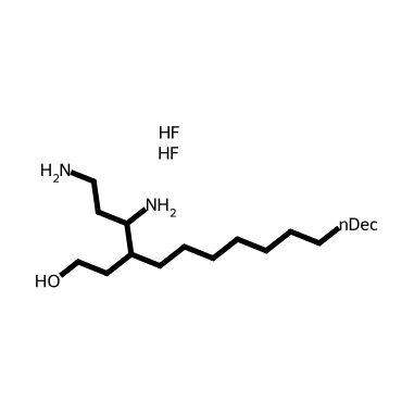 CCCCCCCCCCCCCCCCCC(CCO)C(N)CCN.F.F